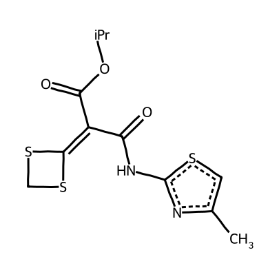 Cc1csc(NC(=O)C(C(=O)OC(C)C)=C2SCS2)n1